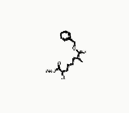 CCC(CCCCC(C)C(=O)OCc1ccccc1)C(=O)OC